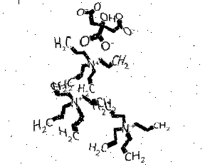 C=CC[N+](CC=C)(CC=C)CC=C.C=CC[N+](CC=C)(CC=C)CC=C.C=CC[N+](CC=C)(CC=C)CC=C.O=C([O-])CC(O)(CC(=O)[O-])C(=O)[O-]